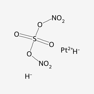 O=[N+]([O-])OS(=O)(=O)O[N+](=O)[O-].[H-].[H-].[Pt+2]